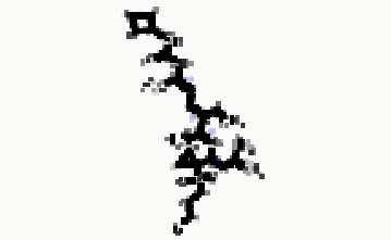 C=CC(=C\C=C(/C)NC(=O)NC1CCC1)/C(N)=N/C(=C\C(=C)N)C1(S(=O)(=O)CCCO)CC1